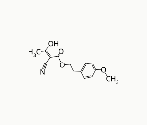 COc1ccc(CCOC(=O)/C(C#N)=C(/C)O)cc1